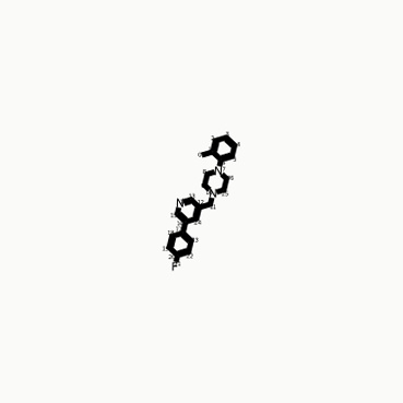 Cc1ccccc1N1CCN(Cc2cncc(-c3ccc(F)cc3)c2)CC1